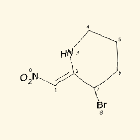 O=[N+]([O-])C=C1NCCCC1Br